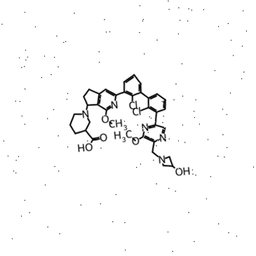 COc1nc(-c2cccc(-c3cccc(-c4cc5c(c(OC)n4)C(N4CCCC(C(=O)O)C4)CC5)c3Cl)c2Cl)cnc1CN1CC(O)C1